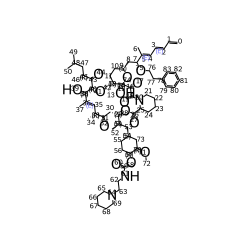 C=C/C=C/C=C(\C)C(C[C@@H]1CC[C@@H](C)[C@](O)(C(=O)C(=O)N2CCCCC2C(=O)O[C@@H](CC(=O)[C@H](C)/C=C(\C)[C@@H](O)[C@@H](OC)C(=O)[C@H](C)CC(C)C)[C@H](C)C[C@@H]2CC[C@@H](OC(=O)NCCN3CCCCC3)[C@H](OC)C2)O1)OCCc1ccccc1